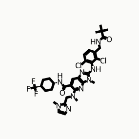 CN(Cc1nccn1C)c1nc2c(cc1C(=O)N[C@H]1CC[C@H](C(F)(F)F)CC1)nc(Nc1c(Cl)ccc(CNC(=O)C(C)(C)C)c1Cl)n2C